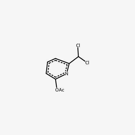 CC(=O)Oc1cccc(C(Cl)Cl)n1